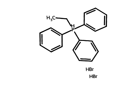 Br.Br.CC[PH](c1ccccc1)(c1ccccc1)c1ccccc1